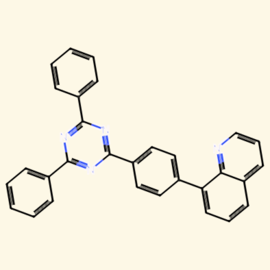 c1ccc(-c2nc(-c3ccccc3)nc(-c3ccc(-c4cccc5cccnc45)cc3)n2)cc1